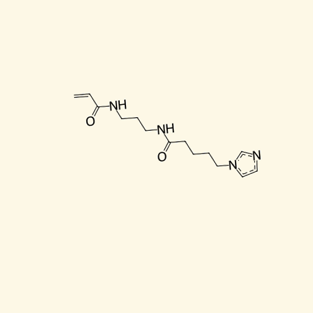 C=CC(=O)NCCCNC(=O)CCCCn1ccnc1